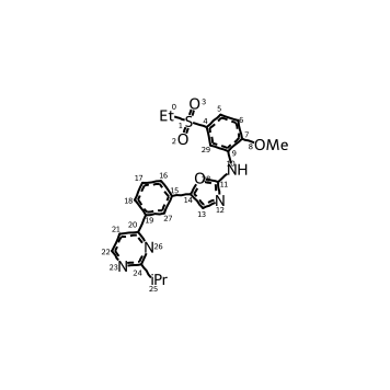 CCS(=O)(=O)c1ccc(OC)c(Nc2ncc(-c3cccc(-c4ccnc(C(C)C)n4)c3)o2)c1